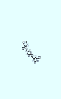 CCNC(=O)CCc1ccc(OCc2cccc(Cl)c2)cc1